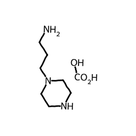 NCCCN1CCNCC1.O=C(O)O